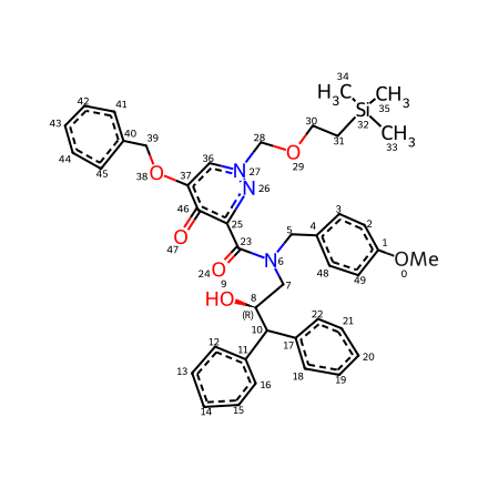 COc1ccc(CN(C[C@H](O)C(c2ccccc2)c2ccccc2)C(=O)c2nn(COCC[Si](C)(C)C)cc(OCc3ccccc3)c2=O)cc1